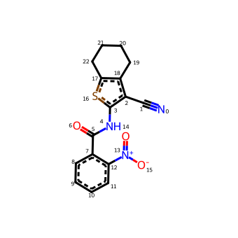 N#Cc1c(NC(=O)c2ccccc2[N+](=O)[O-])sc2c1CCCC2